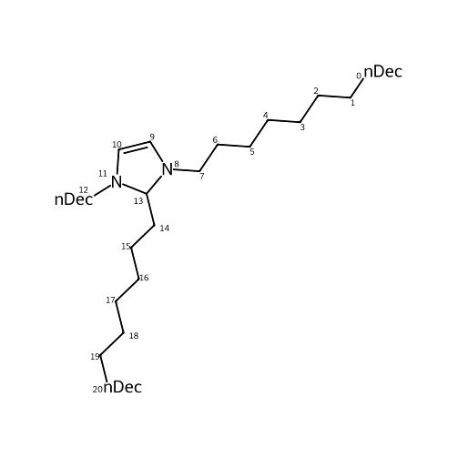 CCCCCCCCCCCCCCCCCN1C=CN(CCCCCCCCCC)C1CCCCCCCCCCCCCCCC